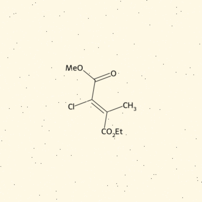 CCOC(=O)C(C)=C(Cl)C(=O)OC